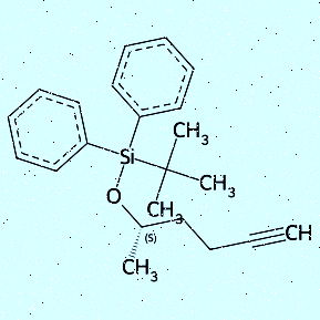 C#CCC[C@H](C)O[Si](c1ccccc1)(c1ccccc1)C(C)(C)C